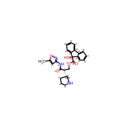 Cc1cc(NC(=O)C(COC(=O)C2(O)c3ccccc3-c3ccccc32)[C@H]2CCCNC2)no1